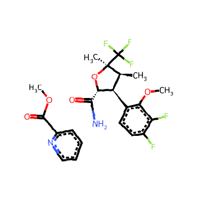 COC(=O)c1ccccn1.COc1c([C@H]2[C@H](C(N)=O)O[C@@](C)(C(F)(F)F)[C@H]2C)ccc(F)c1F